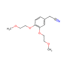 COCCOc1ccc(CC#N)cc1OCCOC